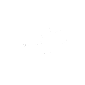 COC1=CC=CC=CC=C1